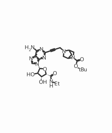 CCNC(=O)[C@H]1O[C@@H](n2cnc3c(N)nc(C#CCN4CC5CC4CN5C(=O)OC(C)(C)C)nc32)C(O)[C@H]1O